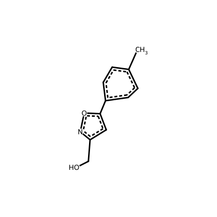 Cc1ccc(-c2cc(CO)no2)cc1